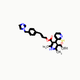 COC(=O)C1=C(C)NC(C)=C(C(=O)OCC=Cc2ccc(Cn3ccnc3)cc2)C1c1cccnc1S